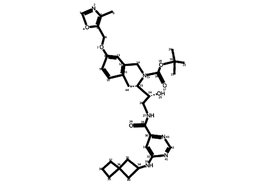 Cc1ncoc1COc1ccc2c(c1)CN(C(=O)OC(C)(C)C)[C@H]([C@H](O)CNC(=O)c1cc(NC3CC4(CCC4)C3)ncn1)C2